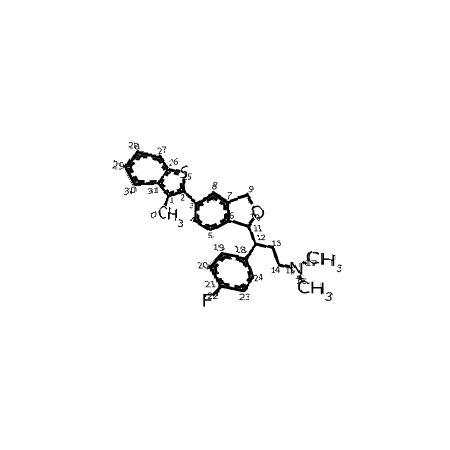 Cc1c(-c2ccc3c(c2)COC3C(CCN(C)C)c2ccc(F)cc2)sc2ccccc12